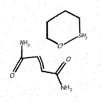 C1CC[SiH2]OC1.NC(=O)/C=C/C(N)=O